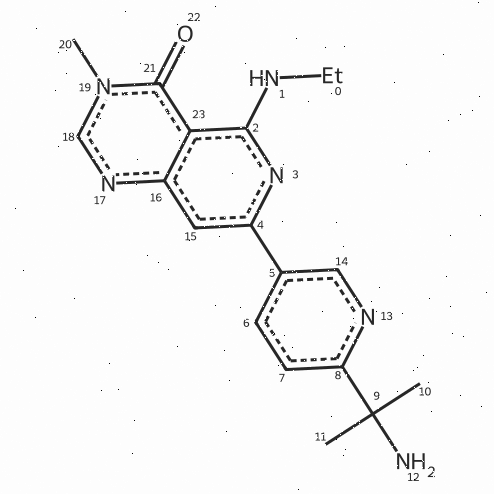 CCNc1nc(-c2ccc(C(C)(C)N)nc2)cc2ncn(C)c(=O)c12